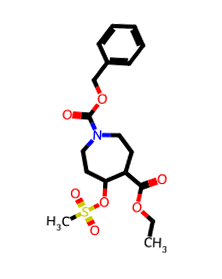 CCOC(=O)C1CCN(C(=O)OCc2ccccc2)CCC1OS(C)(=O)=O